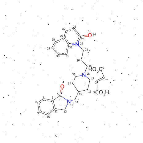 O=C(O)/C=C/C(=O)O.O=C1c2ccccc2CN1CC1CCN(CCCn2c(=O)ccc3ccccc32)CC1